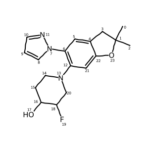 CC1(C)Cc2cc(-n3cccn3)c(N3CCC(O)C(F)C3)cc2O1